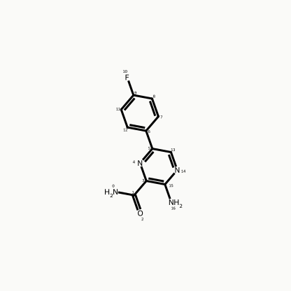 NC(=O)c1nc(-c2ccc(F)cc2)cnc1N